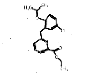 CCOC(=O)c1cccc(Cc2cc(Cl)ccc2OC(C)C)n1